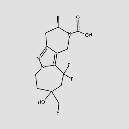 C[C@@H]1Cc2nn3c(c2CN1C(=O)O)C(F)(F)CC(O)(CF)CC3